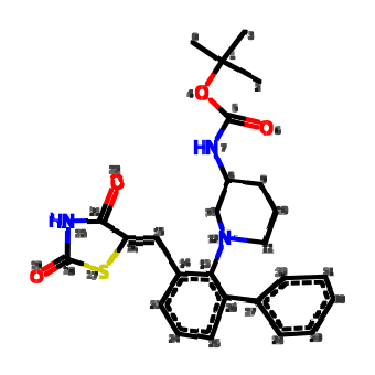 CC(C)(C)OC(=O)NC1CCCN(c2c(C=C3SC(=O)NC3=O)cccc2-c2ccccc2)C1